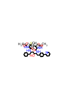 COC(=O)NC(C(=O)NC(Cc1ccc(-c2ccccn2)cc1)C(O)CC(Cc1ccccc1)NC(=O)C(NC(=O)OC)C(C)(C)SC)C(C)(C)C